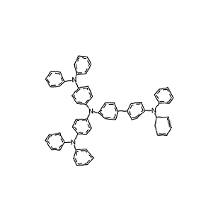 C1=CCC(N(c2ccccc2)c2ccc(-c3ccc(N(c4ccc(N(c5ccccc5)c5ccccc5)cc4)c4ccc(N(c5ccccc5)c5ccccc5)cc4)cc3)cc2)C=C1